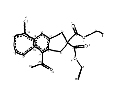 CCOC(=O)C1(C(=O)OCC)Cc2cc3c(Cl)cccc3c(C(C)=O)c2C1